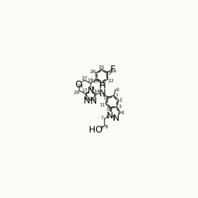 Cc1cc2cnn(CCO)c2cc1Nc1nnc2n1C(c1ccc(F)cc1)COC2